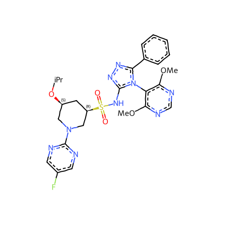 COc1ncnc(OC)c1-n1c(NS(=O)(=O)[C@@H]2C[C@H](OC(C)C)CN(c3ncc(F)cn3)C2)nnc1-c1ccccc1